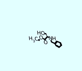 CCOC(=O)[C@@H](CO)NCc1ccccc1